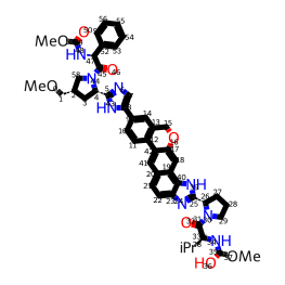 COC[C@H]1C[C@@H](c2ncc(-c3ccc4c(c3)COc3cc5c(ccc6nc([C@@H]7CCCN7C(=O)[C@@H](NC(O)OC)C(C)C)[nH]c65)cc3-4)[nH]2)N(C(=O)[C@H](NC(=O)OC)c2ccccc2)C1